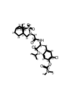 CC(C)OC(=O)[C@H](Cc1ccc(OC(=O)N(C)C)c(Cl)c1)NC(=O)CN1CC23CCC(CC2S1(=O)=O)C3(C)C